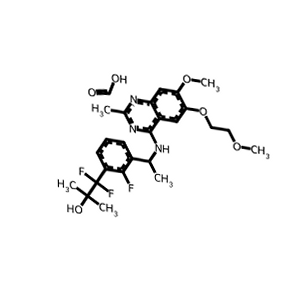 COCCOc1cc2c(NC(C)c3cccc(C(F)(F)C(C)(C)O)c3F)nc(C)nc2cc1OC.O=CO